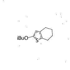 CC(C)COc1cc2c(s1)CCCC2